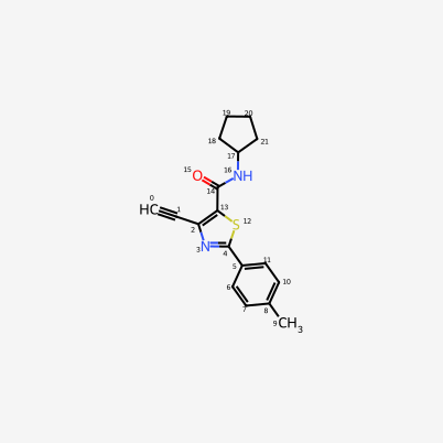 C#Cc1nc(-c2ccc(C)cc2)sc1C(=O)NC1CCCC1